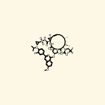 COc1ccc2c(O[C@@H]3C[C@H]4C(=O)N[C@]5(C(=O)NS(=O)(=O)C6CC6)C[C@H]5C=CCC[C@H](C)C[C@@H](C)[C@H](N(C(=O)O)[C@H](C)C(F)(F)F)C(=O)N4C3)nc(-c3ccc(OC(C)C)c(F)c3)cc2c1